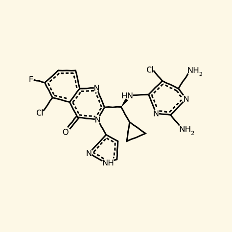 Nc1nc(N)c(Cl)c(N[C@H](c2nc3ccc(F)c(Cl)c3c(=O)n2-c2cc[nH]n2)C2CC2)n1